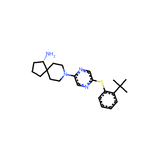 CC(C)(C)c1ccccc1Sc1cnc(N2CCC3(CCC[C@@H]3N)CC2)cn1